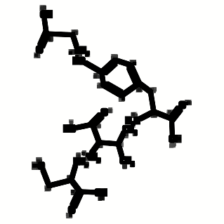 CC(C)C(N)C(=O)O.NC(CO)C(=O)O.NC(Cc1ccc(O)cc1)C(=O)O.NCC(=O)O